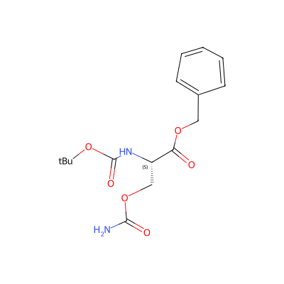 CC(C)(C)OC(=O)N[C@@H](COC(N)=O)C(=O)OCc1ccccc1